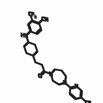 N#Cc1ccc(NC2CCC(CCC(=O)N3CCCN(c4ccc(C(F)(F)F)cn4)CC3)CC2)cc1C(F)(F)F